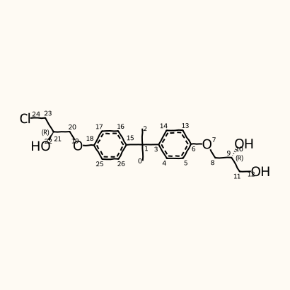 CC(C)(c1ccc(OC[C@H](O)CO)cc1)c1ccc(OC[C@@H](O)CCl)cc1